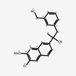 CCc1cc2ccc(C(C)(C#N)Cc3cccc(CC#N)c3)cc2nc1OC